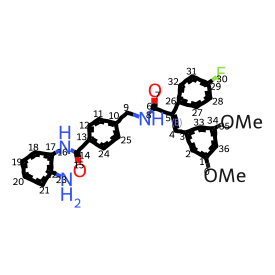 COc1cc(/C=C(/C(=O)NCc2ccc(C(=O)Nc3ccccc3N)cc2)c2ccc(F)cc2)cc(OC)c1